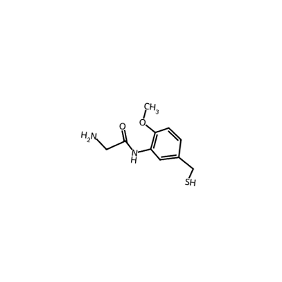 COc1ccc(CS)cc1NC(=O)CN